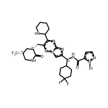 CCn1nccc1C(=O)N[C@H](c1cn2nc(C[C@H]3C[C@@H](C(F)(F)F)CNC3=O)c(C3CCCCN3)nc2n1)C1CCC(F)(F)CC1